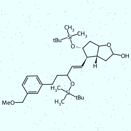 COCc1cccc(CCC(/C=C/[C@H]2[C@H](O[Si](C)(C)C(C)(C)C)CC3OC(O)C[C@@H]32)O[Si](C)(C)C(C)(C)C)c1